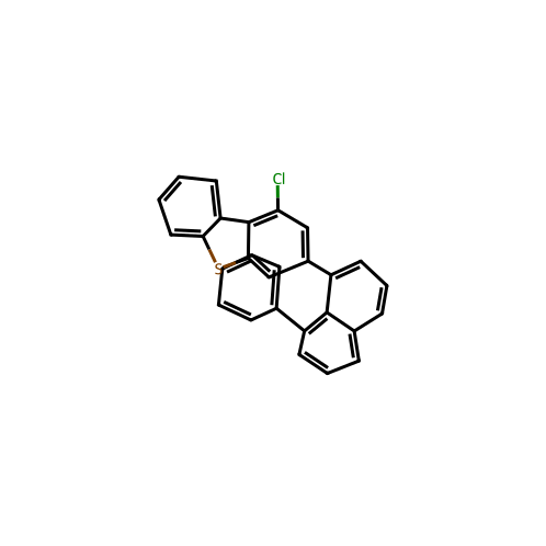 Clc1cc(-c2cccc3cccc(-c4ccccc4)c23)cc2sc3ccccc3c12